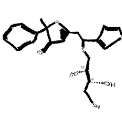 CC1(c2ccccc2)OC(CC(SC[C@@H](O)[C@H](O)CS)c2ccsc2)=CC1=O